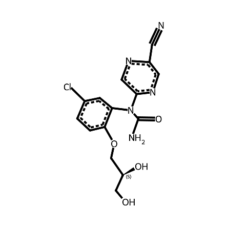 N#Cc1cnc(N(C(N)=O)c2cc(Cl)ccc2OC[C@@H](O)CO)cn1